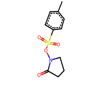 Cc1ccc(S(=O)(=O)ON2CCCC2=O)cc1